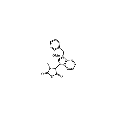 COc1ccccc1Cn1cc(C2C(=O)SC(=O)N2C)c2ccccc21